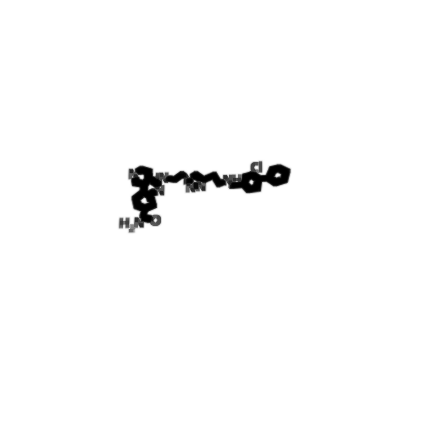 NC(=O)c1ccc2c(c1)nc(NCCn1cc(CCNCc3ccc(-c4ccccc4)c(Cl)c3)nn1)c1ccncc12